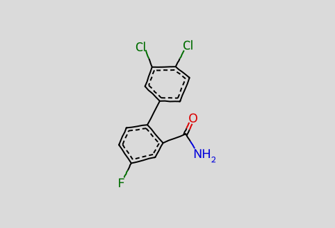 NC(=O)c1cc(F)ccc1-c1ccc(Cl)c(Cl)c1